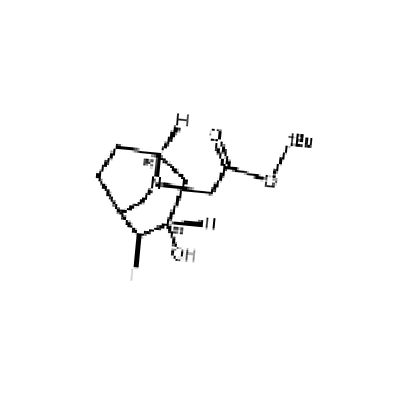 CC(C)(C)OC(=O)CN1CC2CC[C@@H]1C[C@H](O)C2F